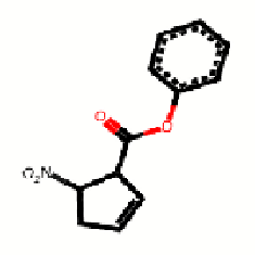 O=C(Oc1ccccc1)C1C=CCC1[N+](=O)[O-]